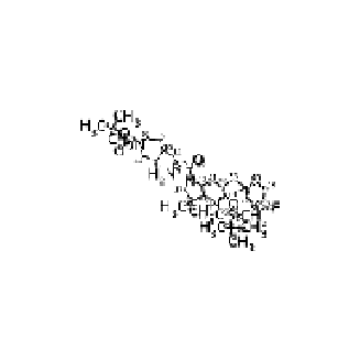 CC(C)(C)OC(=O)N1CCC(C[C@H](N)C(=O)N2CC(C)(C)c3nc(O[Si](C)(C)C(C)(C)C)c(Cc4ccc(F)cc4)cc32)CC1